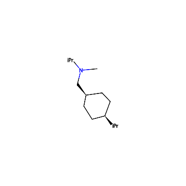 CC(C)N(C)C[C@H]1CC[C@@H](C(C)C)CC1